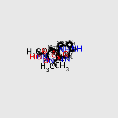 CC(C)[C@@H]1NC(=O)[C@@H](NC(=O)[C@H](C)O)Cc2ccc3c(c2)C24c5cccc(c5N[C@H]2O3)-c2cccc3[nH]cc(c23)-c2cnc(o2)-c2nc1oc24